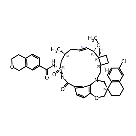 CO[C@H]1/C=C/C[C@H](C)C[S@@](=O)(NC(=O)c2ccc3c(c2)COCC3)=NC(=O)c2ccc3c(c2)N(C[C@@H]2CC[C@H]21)C[C@@]1(CCCc2cc(Cl)ccc21)CO3